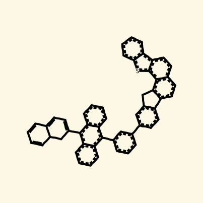 C1=CC2=CC=C(c3c4ccccc4c(-c4cccc(-c5ccc6c(c5)Cc5c-6ccc6ccc7c8ccccc8sc7c56)c4)c4ccccc34)CC2C=C1